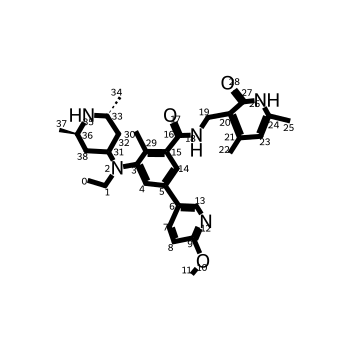 CCN(c1cc(-c2ccc(OC)nc2)cc(C(=O)NCc2c(C)cc(C)[nH]c2=O)c1C)C1C[C@@H](C)N[C@H](C)C1